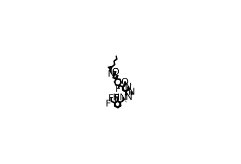 CCCCC1CC1N=S1(=O)CC2(CCC(F)(c3cc4c(N[C@H](C)c5cccc(C(F)F)c5F)ncnc4n(C)c3=O)CC2)C1